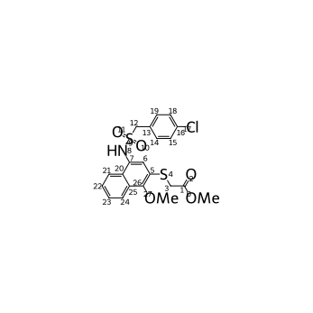 COC(=O)CSc1cc(NS(=O)(=O)Cc2ccc(Cl)cc2)c2ccccc2c1OC